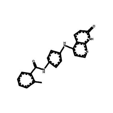 Cc1ccccc1C(=O)Nc1ccc(Nc2ccnc3[nH]c(=O)ccc23)cc1